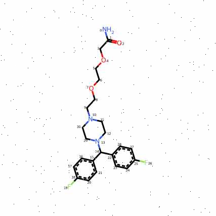 NC(=O)COCCOCCN1CCN(C(c2ccc(F)cc2)c2ccc(F)cc2)CC1